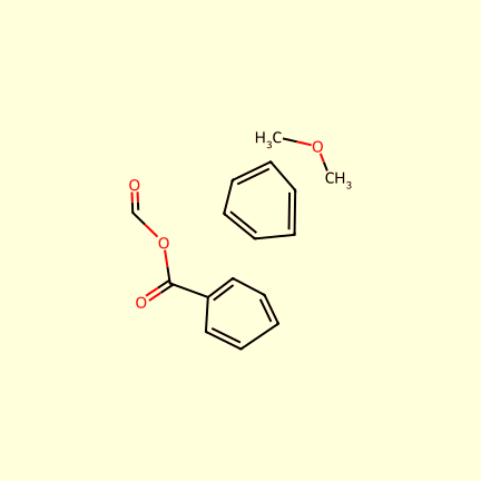 COC.O=COC(=O)c1ccccc1.c1ccccc1